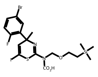 CC1(c2cc(Br)ccc2F)C=C(I)SC(N(COCC[Si](C)(C)C)C(=O)O)=N1